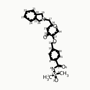 CS(C)(=O)=NC(=O)c1ccc(COc2coc(CN3Cc4ccccc4C3)cc2=O)cc1